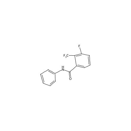 O=C(Nc1ccccc1)c1cccc(F)c1C(F)(F)F